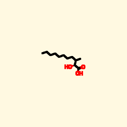 CCCCCCCCC(C)[C@@H](O)C(=O)O